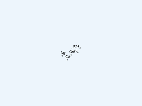 [Ag].[BiH3].[Cu].[GeH4]